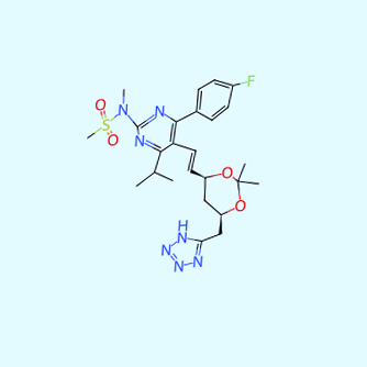 CC(C)c1nc(N(C)S(C)(=O)=O)nc(-c2ccc(F)cc2)c1/C=C/[C@@H]1C[C@H](Cc2nnn[nH]2)OC(C)(C)O1